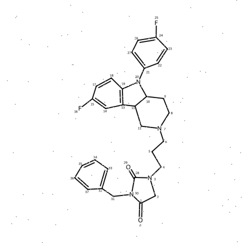 O=C1CN(CCCN2CCC3C(C2)c2cc(F)ccc2N3c2ccc(F)cc2)C(=O)N1Cc1ccccc1